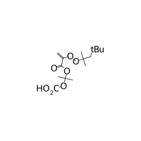 C=C(OOC(C)(C)CC(C)(C)C)C(=O)OC(C)(C)OC(=O)O